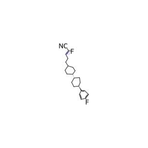 N#C/C(F)=C/CCC1CCC([C@H]2CC[C@H](c3ccc(F)cc3)CC2)CC1